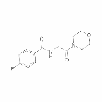 O=C(NCC(=O)N1CCOCC1)c1ccc(F)cc1